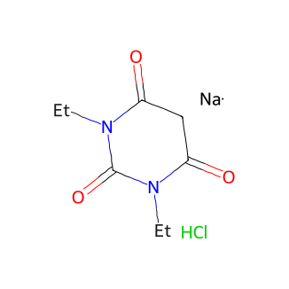 CCN1C(=O)CC(=O)N(CC)C1=O.Cl.[Na]